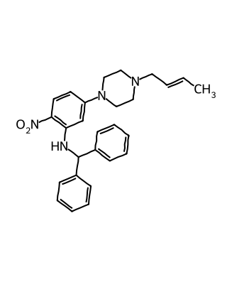 CC=CCN1CCN(c2ccc([N+](=O)[O-])c(NC(c3ccccc3)c3ccccc3)c2)CC1